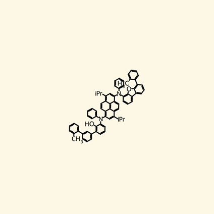 Cc1ccccc1-c1cccc(-c2cccc(N(c3ccccc3)c3cc(C(C)C)c4ccc5c(N(c6ccccc6)c6cccc7c6oc6c(-c8ccccc8C)cccc67)cc(C(C)C)c6ccc3c4c65)c2O)c1